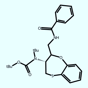 CC(C)(C)OC(=O)N([C@H]1CSc2ccccc2OC1CNC(=O)c1ccccc1)C(C)(C)C